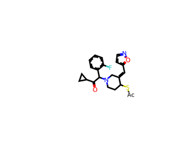 CC(=O)SC1CCN(C(C(=O)C2CC2)c2ccccc2F)C/C1=C\c1ccno1